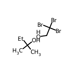 CCC(C)(C)O.OCC(Br)(Br)Br